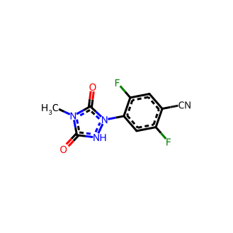 Cn1c(=O)[nH]n(-c2cc(F)c(C#N)cc2F)c1=O